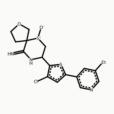 CCc1cncc(-c2cc(Cl)c(C3C[S+]([O-])C4(CCOC4)C(=N)N3)s2)c1